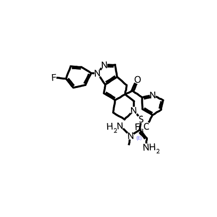 CN(N)/C(=C\N)SN1CCC2=Cc3c(cnn3-c3ccc(F)cc3)CC2(C(=O)c2cc(C(F)(F)F)ccn2)C1